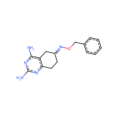 Nc1nc(N)c2c(n1)CCC(=NOCc1ccccc1)C2